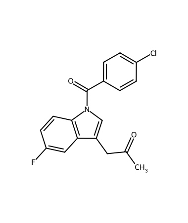 CC(=O)Cc1cn(C(=O)c2ccc(Cl)cc2)c2ccc(F)cc12